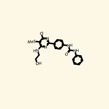 CSc1c(Cl)nc(-c2ccc(NC(=O)Nc3ccccc3)cc2)nc1NCCO